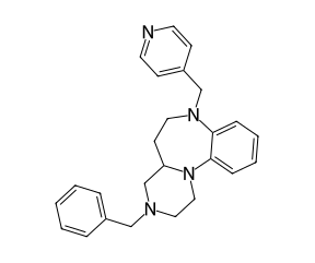 c1ccc(CN2CCN3c4ccccc4N(Cc4ccncc4)CCC3C2)cc1